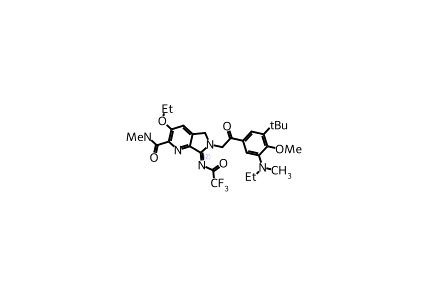 CCOc1cc2c(nc1C(=O)NC)/C(=N/C(=O)C(F)(F)F)N(CC(=O)c1cc(N(C)CC)c(OC)c(C(C)(C)C)c1)C2